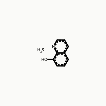 Oc1cccc2cccnc12.S